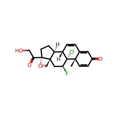 C[C@]12C=CC(=O)C=C1C=C[C@H]1[C@@H]3CC[C@](O)(C(=O)CO)[C@@]3(C)C[C@H](F)[C@@]12Cl